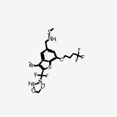 CSNCc1cc(OCCCC(F)(F)F)c2sc(C(F)(F)N3OCOP3)c(Br)c2c1